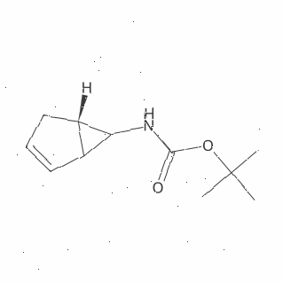 CC(C)(C)OC(=O)NC1C2C=CC[C@@H]21